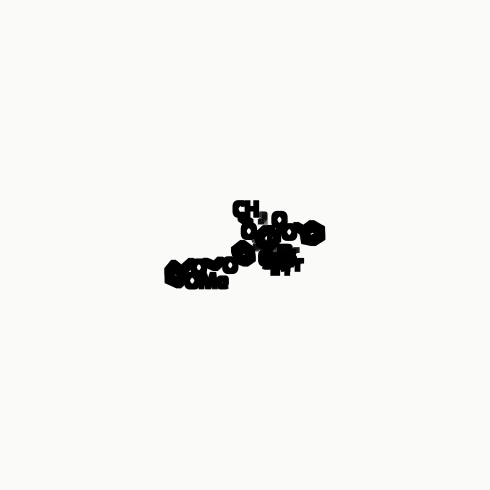 C=CCO[C@H]1CN(C(=O)OCc2ccccc2)C[C@@H](O[Si](C(C)C)(C(C)C)C(C)C)[C@@H]1c1ccc(OCCCOCc2ccccc2OC)cc1